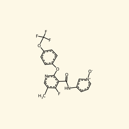 Cc1cnc(Oc2ccc(OC(F)(F)F)cc2)c(C(=O)Nc2ccc[n+]([O-])c2)c1F